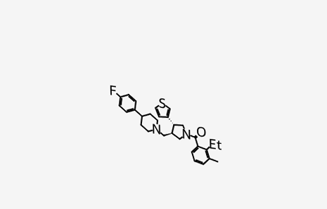 CCc1c(C)cccc1C(=O)N1C[C@@H](CN2CCC(c3ccc(F)cc3)CC2)[C@H](c2ccsc2)C1